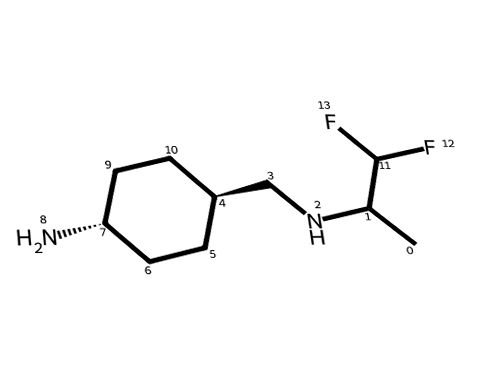 CC(NC[C@H]1CC[C@H](N)CC1)C(F)F